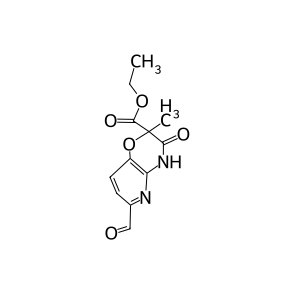 CCOC(=O)C1(C)Oc2ccc(C=O)nc2NC1=O